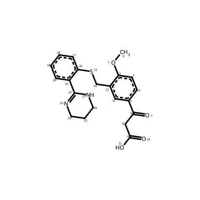 COc1ccc(C(=O)CC(=O)O)cc1CSc1ccccc1C1=NCCCN1